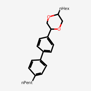 CCCCCCC1COC(c2ccc(-c3ccc(CCCCC)cc3)cc2)CO1